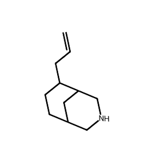 C=CCC1CCC2CNCC1C2